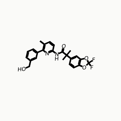 Cc1ccc(NC(=O)C(C)(C)c2ccc3c(c2)OC(F)(F)O3)nc1-c1cccc(CO)c1